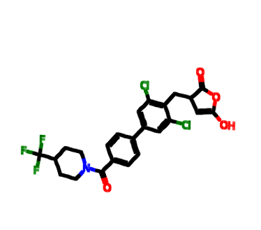 O=C1OC(O)=CC1Cc1c(Cl)cc(-c2ccc(C(=O)N3CCC(C(F)(F)F)CC3)cc2)cc1Cl